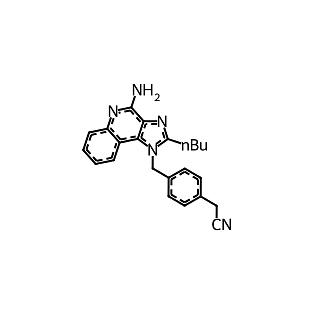 CCCCc1nc2c(N)nc3ccccc3c2n1Cc1ccc(CC#N)cc1